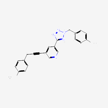 COc1ccc(CC#Cc2cncc(-c3nnn(Cc4ccc(C(=O)O)cc4)n3)c2)cc1